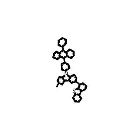 Cc1ccc2c(c1)c1cc(-c3cccc4c3sc3ccccc34)ccc1n2-c1ccc(-c2c3ccccc3c(-c3ccccc3)c3ccccc23)cc1